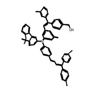 Cc1ccc(C(=C/C=C/c2ccc(N(c3cc(C)cc(/C=C(\c4ccc(CO)cc4)c4cccc(C)c4)c3)c3ccc4c(c3)-c3ccccc3C4(C)C)cc2)c2ccc(C)cc2)cc1